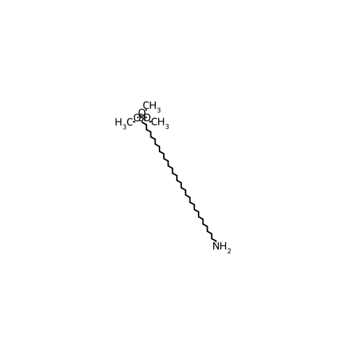 CCO[Si](CCCCCCCCCCCCCCCCCCCCCCCCCCCCCCCCCCN)(OCC)OCC